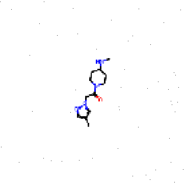 CNC1CCN(C(=O)Cn2cc(C)cn2)CC1